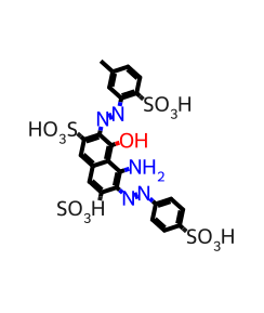 Cc1ccc(S(=O)(=O)O)c(N=Nc2c(S(=O)(=O)O)cc3cc(S(=O)(=O)O)c(N=Nc4ccc(S(=O)(=O)O)cc4)c(N)c3c2O)c1